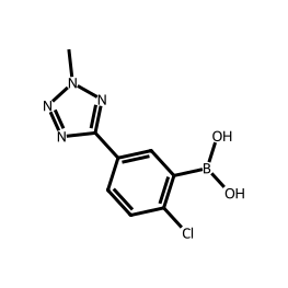 Cn1nnc(-c2ccc(Cl)c(B(O)O)c2)n1